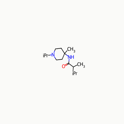 CC(C)C(C)C(=O)NC1(C)CCN(C(C)C)CC1